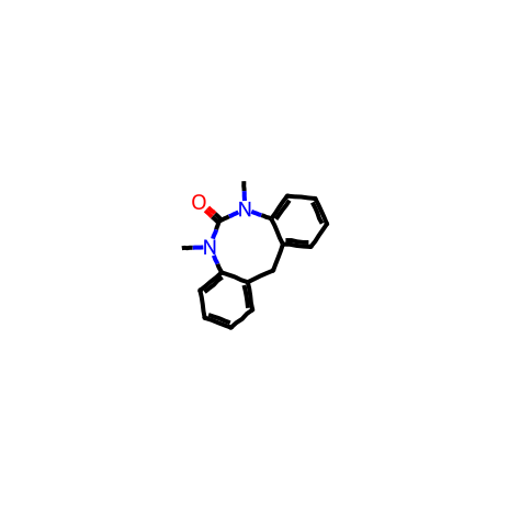 CN1C(=O)N(C)c2ccccc2Cc2ccccc21